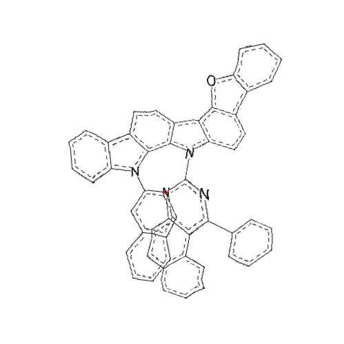 c1ccc(-c2nc(-n3c4ccc5c6ccccc6oc5c4c4ccc5c6ccccc6n(-c6ccc7ccccc7c6)c5c43)nc3ccc4ccccc4c23)cc1